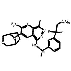 COCC(F)(F)c1cccc([C@@H](C)Nc2nnc(C)c3nc(C(F)(F)F)c(N4C5CCC4COC5)cc23)c1